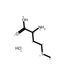 CSCCC(N)C(=O)O.Cl